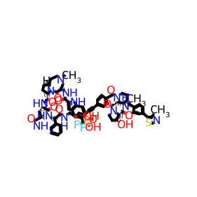 Cc1ncsc1-c1ccc([C@H](C)NC(=O)[C@@H]2[C@@H](O)CCN2C(=O)[C@@H]2CCCCN2C(=O)c2ccc(C#CCCCCNC(=O)[C@@H](NC(=O)[C@H](CCC(N)=O)NC(=O)[C@@H]3CC[C@@H]4CCN(C)C[C@H](NC(=O)c5cc6cc(C(F)(F)P(=O)(O)O)ccc6[nH]5)C(=O)N43)c3ccccc3)cc2)cc1